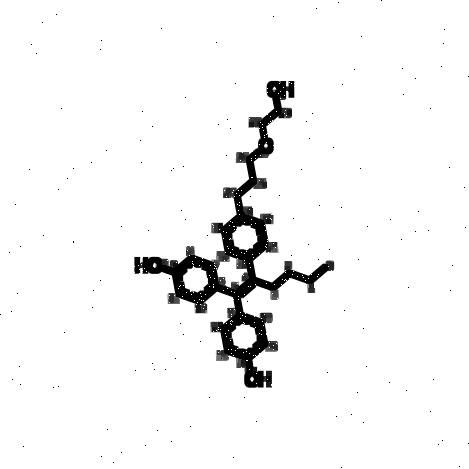 CCCCC(=C(c1ccc(O)cc1)c1ccc(O)cc1)c1ccc(CCCOCCO)cc1